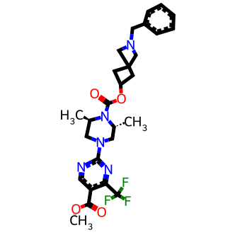 COC(=O)c1cnc(N2C[C@@H](C)N(C(=O)OC3CC4(C3)CN(Cc3ccccc3)C4)[C@H](C)C2)nc1C(F)(F)F